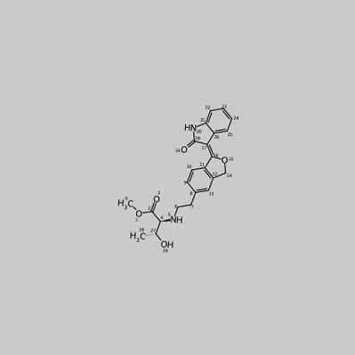 COC(=O)[C@@H](NCCc1ccc2c(c1)CO/C2=C1/C(=O)Nc2ccccc21)[C@@H](C)O